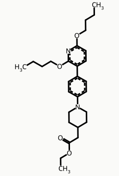 CCCCOc1ccc(-c2ccc(N3CCC(CC(=O)OCC)CC3)cc2)c(OCCCC)n1